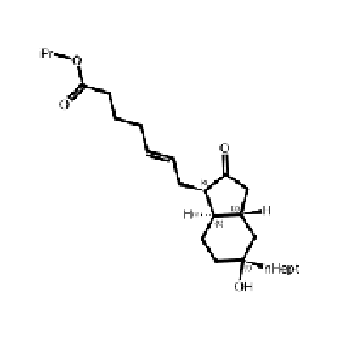 CCCCCCC[C@@]1(O)CC[C@@H]2[C@H](CC(=O)[C@@H]2CC=CCCCC(=O)OC(C)C)C1